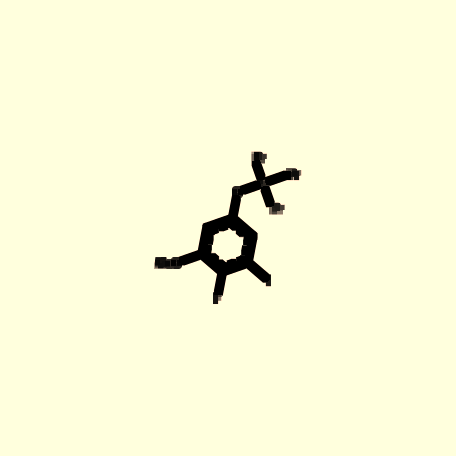 COc1cc(O[Si](C(C)C)(C(C)C)C(C)C)cc(I)c1F